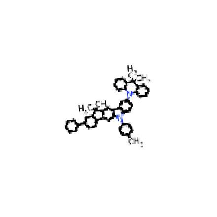 Cc1ccc(-n2c3ccc(N4c5ccccc5C(C)(C)c5ccccc54)cc3c3cc4c(cc32)-c2ccc(-c3ccccc3)cc2C4(C)C)cc1